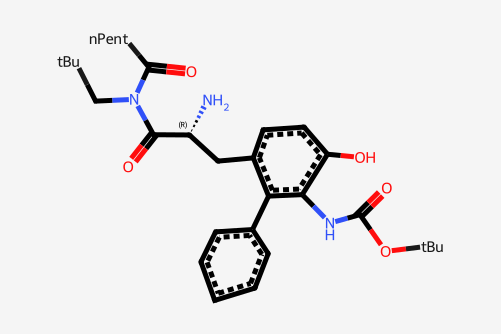 CCCCCC(=O)N(CC(C)(C)C)C(=O)[C@H](N)Cc1ccc(O)c(NC(=O)OC(C)(C)C)c1-c1ccccc1